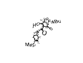 CSc1ccc(NC(=O)C2=C(O)[C@@]3(C)CO[C@H](C(C)(C)C)N3C2=O)cc1